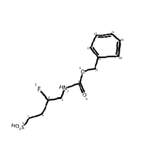 O=C(NCC(F)CCS(=O)(=O)O)OCc1ccccc1